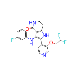 O=C1NCCc2[nH]c(-c3ccncc3OCC(F)F)c(Nc3cccc(F)c3)c21